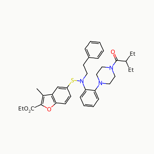 CCOC(=O)c1oc2ccc(SN(CCc3ccccc3)c3ccccc3N3CCN(C(=O)C(CC)CC)CC3)cc2c1C